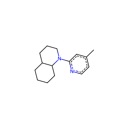 Cc1ccnc(N2CCCC3CCCCC32)c1